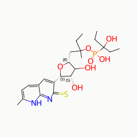 CCC(C)(C[C@H]1O[C@@H](c2cc3ccc(C)[nH]c-3nc2=S)[C@@H](O)C1O)OP(=O)(O)C(O)(CC)CC